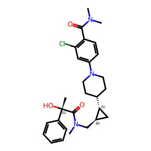 CN(C)C(=O)c1ccc(N2CCC([C@@H]3C[C@H]3CN(C)C(=O)[C@@](C)(O)c3ccccc3)CC2)cc1Cl